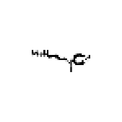 CNCCCCNC1CCN(C)CC1